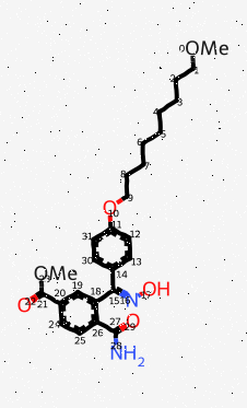 COCCCCCCCCCOc1ccc(C(=NO)c2cc(C(=O)OC)ccc2C(N)=O)cc1